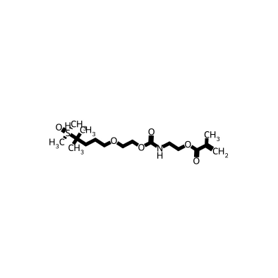 C=C(C)C(=O)OCCNC(=O)OCCOCCCC(C)(C)[SH](C)(C)=O